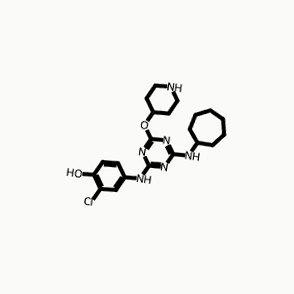 Oc1ccc(Nc2nc(NC3CCCCCC3)nc(OC3CCNCC3)n2)cc1Cl